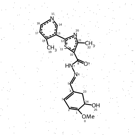 COC1=CC=C(/C=N/NC(=O)c2sc(-c3cnccc3C)nc2C)CC1O